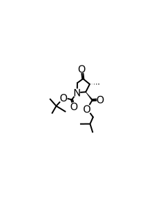 CC(C)COC(=O)[C@@H]1[C@@H](C)C(=O)CN1C(=O)OC(C)(C)C